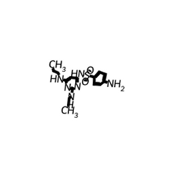 CCCNc1cc(NS(=O)(=O)c2ccc(N)cc2)nc(NCCC)n1